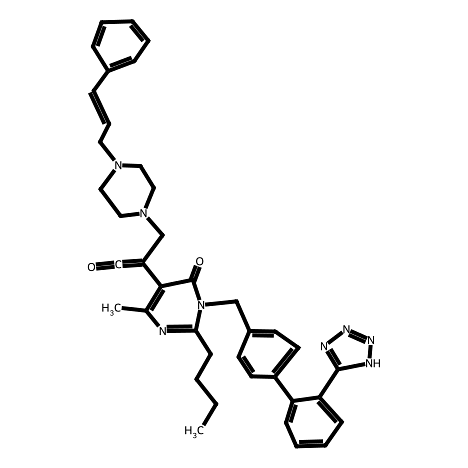 CCCCc1nc(C)c(C(=C=O)CN2CCN(C/C=C/c3ccccc3)CC2)c(=O)n1Cc1ccc(-c2ccccc2-c2nnn[nH]2)cc1